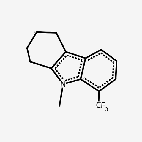 Cn1c2c(c3cccc(C(F)(F)F)c31)C[C]CC2